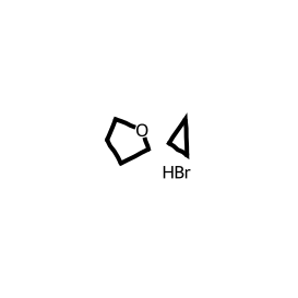 Br.C1CC1.C1CCOC1